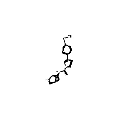 COc1ccc(-c2ccn(C(=O)NC3CC4CNC3C4)c2)cc1